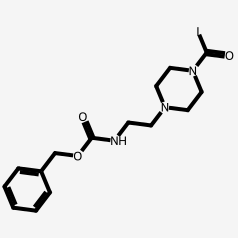 O=C(NCCN1CCN(C(=O)I)CC1)OCc1ccccc1